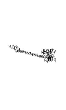 Cc1ccc(S(=O)(=O)OCCOCCOCCOCCOCCOCCOCCOCC(=O)NC(C(=O)N2CCC[C@H]2C(=O)N[C@@H](C)c2ccc(-c3scnc3C)cc2)C(C)(C)C)cc1